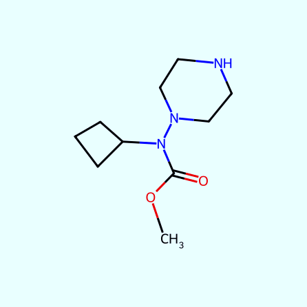 COC(=O)N(C1CCC1)N1CCNCC1